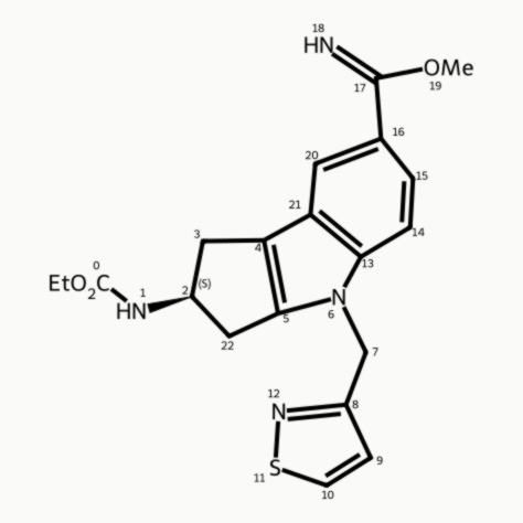 CCOC(=O)N[C@H]1Cc2c(n(Cc3ccsn3)c3ccc(C(=N)OC)cc23)C1